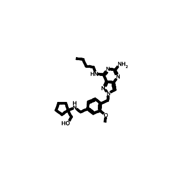 CCCCNc1nc(N)nc2cn(Cc3ccc(CNC4(CO)CCCC4)cc3OC)nc12